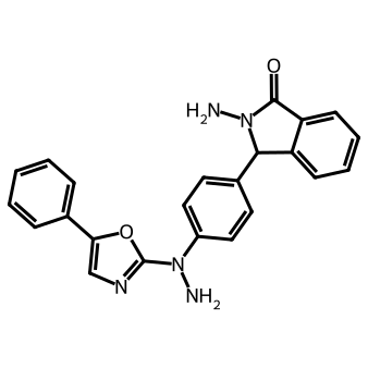 NN(c1ccc(C2c3ccccc3C(=O)N2N)cc1)c1ncc(-c2ccccc2)o1